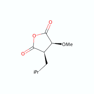 CO[C@@H]1C(=O)OC(=O)[C@@H]1CC(C)C